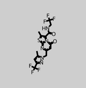 Cc1sc2nc(Cn3nc(C(F)(F)F)cc3C)cc(=O)n2c1C(=O)NCC(F)(F)F